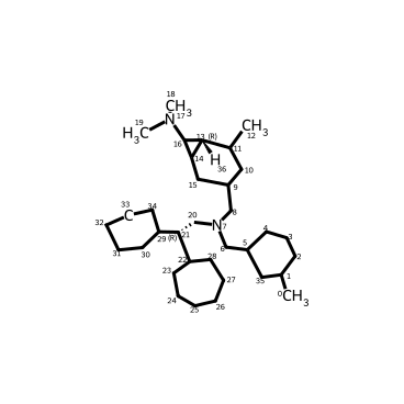 CC1CCCC(CN(CC2CC(C)[C@@H]3C(C2)C3N(C)C)C[C@H](C2CCCCCC2)C2CCCCC2)C1